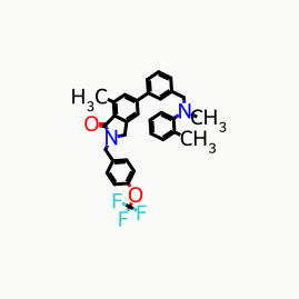 Cc1ccccc1N(C)Cc1cccc(-c2cc(C)c3c(c2)CN(Cc2ccc(OC(F)(F)F)cc2)C3=O)c1